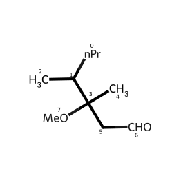 CCCC(C)C(C)(CC=O)OC